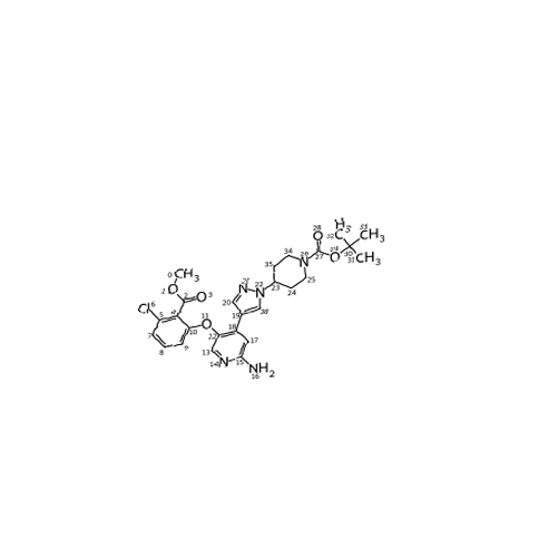 COC(=O)c1c(Cl)cccc1Oc1cnc(N)cc1-c1cnn(C2CCN(C(=O)OC(C)(C)C)CC2)c1